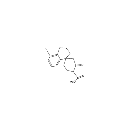 COC(=O)C1CCC2(CCCc3c(C)cccc32)CC1=O